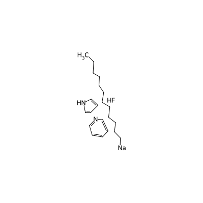 CCCCCCCCCCC[CH2][Na].F.c1cc[nH]c1.c1ccncc1